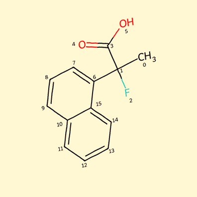 CC(F)(C(=O)O)c1cccc2ccccc12